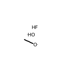 C[O].F.[OH]